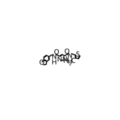 Cc1ccsc1CNC(=O)c1cc(C(=O)NCc2ccc3c(c2)CCO3)ncn1